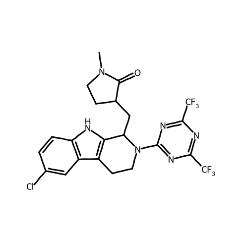 CN1CCC(CC2c3[nH]c4ccc(Cl)cc4c3CCN2c2nc(C(F)(F)F)nc(C(F)(F)F)n2)C1=O